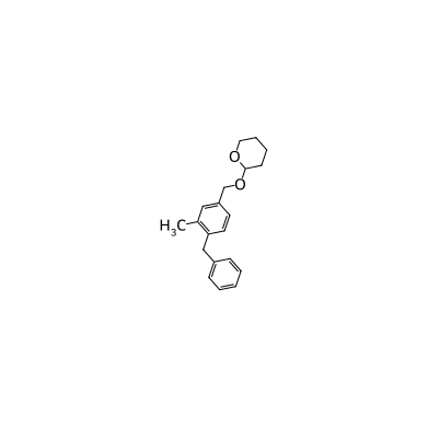 Cc1cc(COC2CCCCO2)ccc1Cc1ccccc1